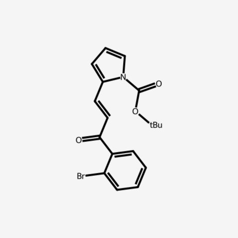 CC(C)(C)OC(=O)n1cccc1C=CC(=O)c1ccccc1Br